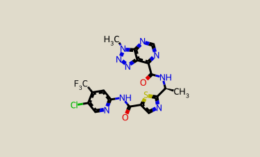 C[C@H](NC(=O)c1ncnc2c1nnn2C)c1ncc(C(=O)Nc2cc(C(F)(F)F)c(Cl)cn2)s1